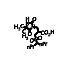 CCCC(CCC)S(=O)(=O)CC(CN1C(=O)NC(C)(C)C1=O)C(=O)O